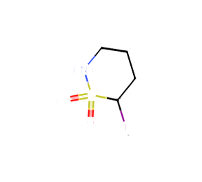 O=S1(=O)NCCCC1I